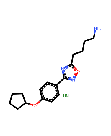 Cl.NCCCCc1nc(-c2ccc(OC3CCCC3)cc2)no1